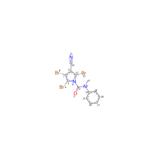 CN(C(=O)n1c(Br)c(Br)c(C#N)c1Br)c1ccccc1